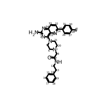 Nc1nc(N2CCN(CC(=O)NCCc3ccccc3)CC2)c2nc(-c3ccc(F)cc3)ccc2n1